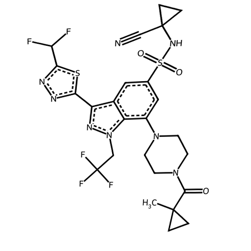 CC1(C(=O)N2CCN(c3cc(S(=O)(=O)NC4(C#N)CC4)cc4c(-c5nnc(C(F)F)s5)nn(CC(F)(F)F)c34)CC2)CC1